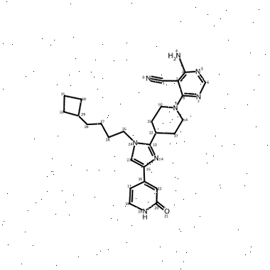 N#Cc1c(N)ncnc1N1CCC(c2nc(-c3cc[nH]c(=O)c3)cn2CCCCC2CCC2)CC1